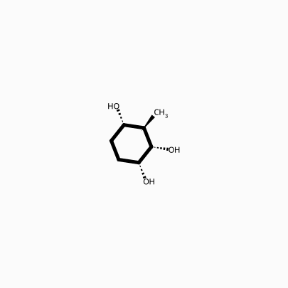 C[C@H]1[C@H](O)[C@H](O)CC[C@@H]1O